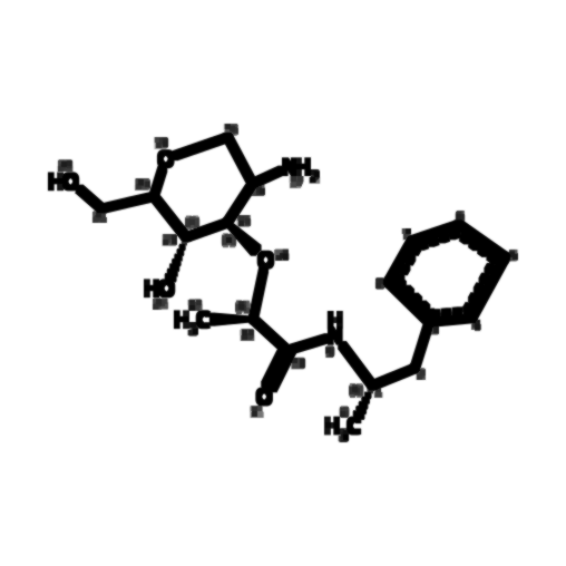 C[C@@H](Cc1ccccc1)NC(=O)[C@@H](C)O[C@@H]1C(N)COC(CO)[C@H]1O